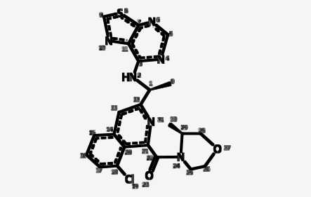 C[C@H](Nc1ncnc2scnc12)c1cc2cccc(Cl)c2c(C(=O)N2CCOC[C@@H]2C)n1